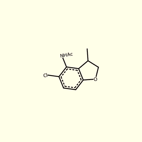 CC(=O)Nc1c(Cl)ccc2c1C(C)CO2